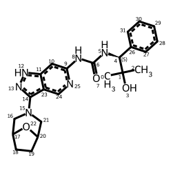 CC(C)(O)[C@@H](NC(=O)Nc1cc2[nH]nc(N3CC4CCC(C3)O4)c2cn1)c1ccccc1